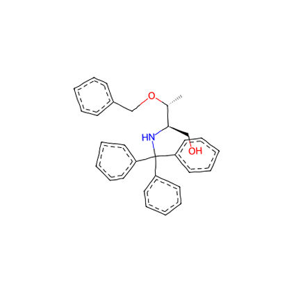 C[C@@H](OCc1ccccc1)[C@@H](CO)NC(c1ccccc1)(c1ccccc1)c1ccccc1